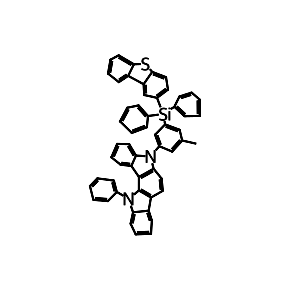 Cc1cc(-n2c3ccccc3c3c2ccc2c4ccccc4n(-c4ccccc4)c23)cc([Si](c2ccccc2)(c2ccccc2)c2ccc3sc4ccccc4c3c2)c1